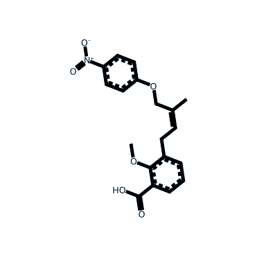 COc1c(CC=C(C)COc2ccc([N+](=O)[O-])cc2)cccc1C(=O)O